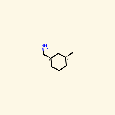 C[C@H]1CCC[C@@H](CN)C1